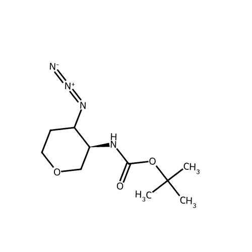 CC(C)(C)OC(=O)N[C@H]1COCCC1N=[N+]=[N-]